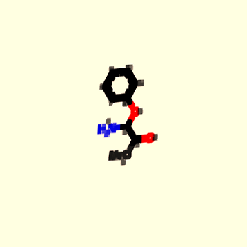 COC(=O)C(N)Oc1ccccc1